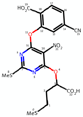 CSCCC(Oc1nc(SC)nc(Oc2cc(C#N)ccc2C(=O)O)c1[N+](=O)[O-])C(=O)O